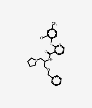 O=C(NC(COCc1ccccc1)CN1CCCC1)c1cccnc1Oc1ccc(C(F)(F)F)cc1Cl